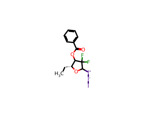 CC[C@H]1OC([I+][I-]I)C(F)(F)C1OC(=O)c1ccccc1